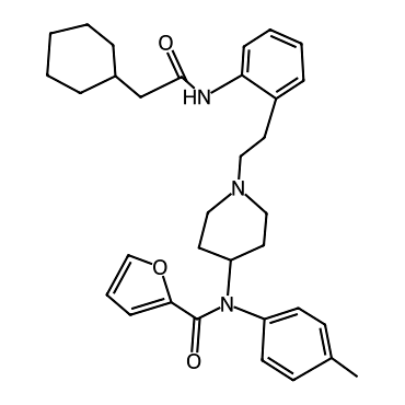 Cc1ccc(N(C(=O)c2ccco2)C2CCN(CCc3ccccc3NC(=O)CC3CCCCC3)CC2)cc1